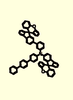 c1ccc(-c2ccc(-c3ccc(N(c4cccc(-c5ccc6c(c5)C5(c7ccccc7Oc7ccccc75)c5ccccc5-6)c4)c4ccc5c(c4)C4(c6ccccc6Oc6ccccc64)c4ccccc4-5)cc3)cc2)cc1